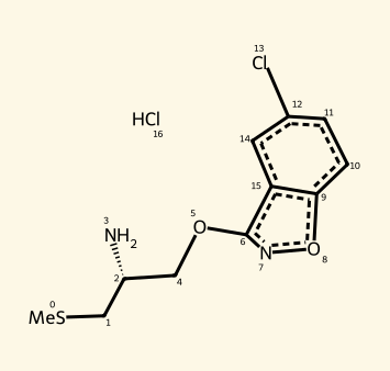 CSC[C@H](N)COc1noc2ccc(Cl)cc12.Cl